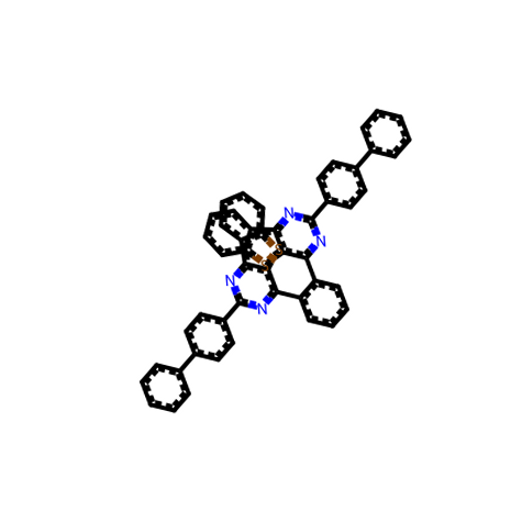 c1ccc(-c2ccc(-c3nc(-c4ccccc4-c4nc(-c5ccc(-c6ccccc6)cc5)nc5c4sc4ccccc45)c4sc5ccccc5c4n3)cc2)cc1